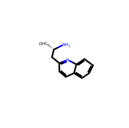 N[C@@H](C=O)Cc1ccc2ccccc2n1